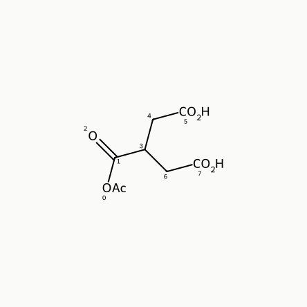 CC(=O)OC(=O)C(CC(=O)O)CC(=O)O